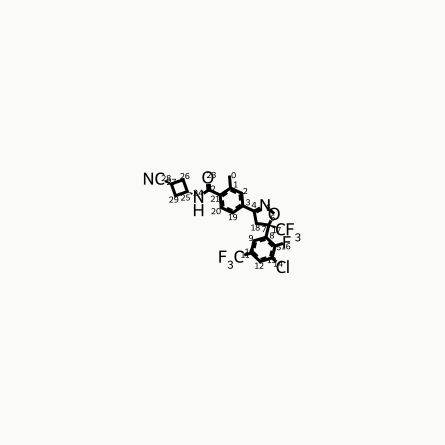 Cc1cc(C2=NO[C@@](c3cc(C(F)(F)F)cc(Cl)c3F)(C(F)(F)F)C2)ccc1C(=O)N[C@H]1C[C@H](C#N)C1